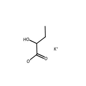 CCC(O)C(=O)[O-].[K+]